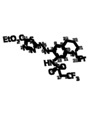 CCOC(=O)c1nnc(N=Nc2cc3c(cc2NS(=O)(=O)CC(F)(F)F)N(C(C)C)CCC3)s1